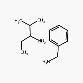 CCC(N)C(C)C.NCc1ccccc1